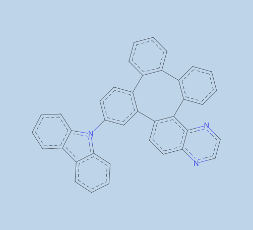 c1ccc2c(c1)-c1ccc(-n3c4ccccc4c4ccccc43)cc1-c1ccc3nccnc3c1-c1ccccc1-2